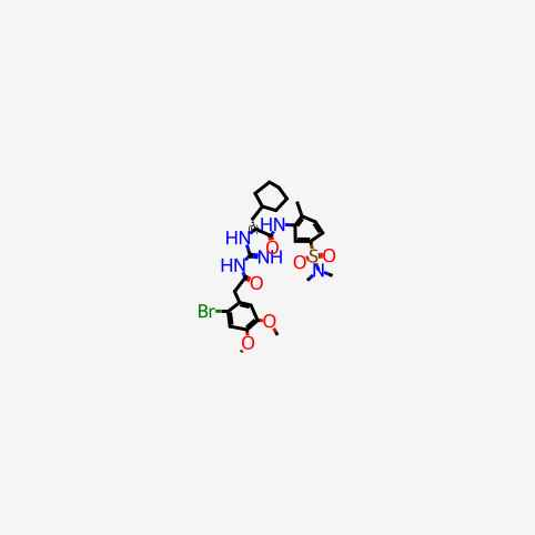 COc1cc(Br)c(CC(=O)NC(=N)N[C@H](CC2CCCCC2)C(=O)Nc2cc(S(=O)(=O)N(C)C)ccc2C)cc1OC